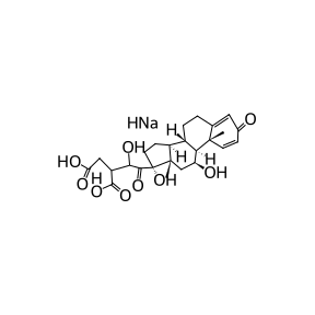 C[C@]12C=CC(=O)C=C1CC[C@@H]1[C@@H]2[C@@H](O)C[C@@]2(C)[C@H]1CC[C@]2(O)C(=O)C(O)C(CC(=O)O)C(=O)O.[NaH]